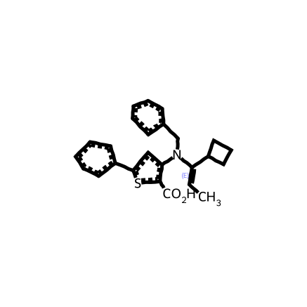 C/C=C(\C1CCC1)N(Cc1ccccc1)c1cc(-c2ccccc2)sc1C(=O)O